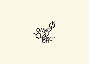 COc1cc(N(O)S(=O)(=O)CCC[N+]2(C)CCN(C)CC2)ccc1C.[Cl-]